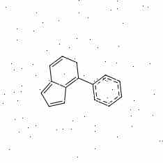 C1=CC2=C(c3ccccc3)CC=CC2=C1